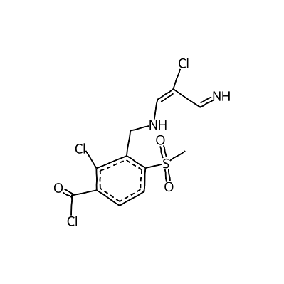 CS(=O)(=O)c1ccc(C(=O)Cl)c(Cl)c1CN/C=C(/Cl)C=N